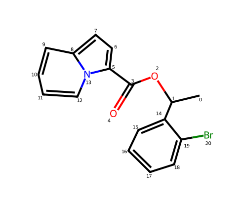 CC(OC(=O)c1ccc2ccccn12)c1ccccc1Br